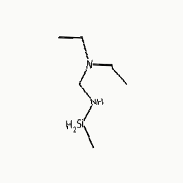 CCN(CC)CN[SiH2]C